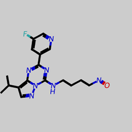 CC(C)c1cnn2c(NCCCCN=O)nc(-c3cncc(F)c3)nc12